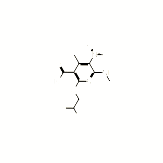 CNc1nc(OCC(F)F)c(C(=O)O)c(C)c1[N+](=O)[O-]